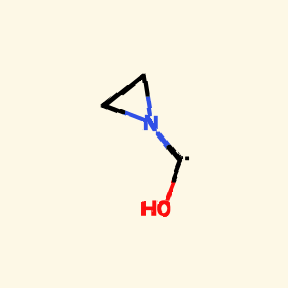 O[CH]N1CC1